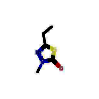 CCc1nn(C)c(=O)s1